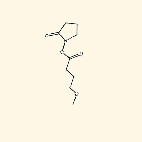 COCCCC(=O)ON1CCCC1=O